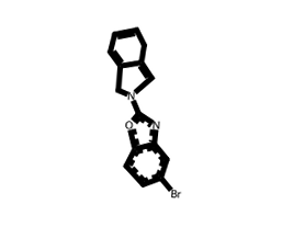 Brc1ccc2oc(N3C=C4CC=CC=C4C3)nc2c1